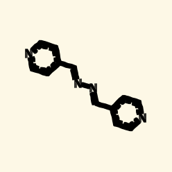 C(=NN=Cc1ccncc1)c1ccncc1